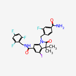 CC1(C)C(=O)N(Cc2ccc(C(N)=O)cc2F)c2cc(C(=O)NCc3c(F)cc(F)cc3F)cc(I)c21